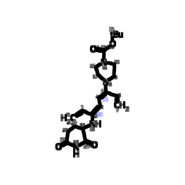 C=C/C(=C\C=C(/C=C)N1CCN(C(=O)OC(C)(C)C)CC1)NC1CCC(=O)NC1=O